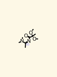 COC(C)(OC)C(=O)/N=C(/C)N(C)C